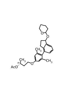 CC(=O)O[C@H](C)CCOc1cc(C)c(-c2cccc3c2CCC3OC2CCCCO2)c(C)c1